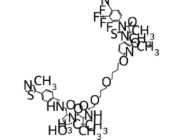 COc1nc(OCCCCOCCCOCC(=O)N[C@H](C(=O)N2C[C@H](O)C[C@H]2C(=O)NCc2ccc(-c3scnc3C)cc2)C(C)(C)C)ccc1N1C(=S)N(c2ccc(C#N)c(C(F)(F)F)c2F)C(=O)C1(C)C